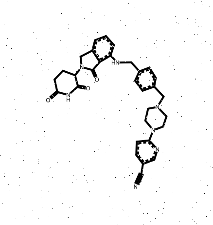 N#Cc1ccc(N2CCN(Cc3ccc(CNc4cccc5c4C(=O)N(C4CCC(=O)NC4=O)C5)cc3)CC2)nc1